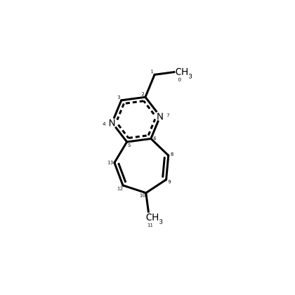 CCc1cnc2c(n1)C=CC(C)C=C2